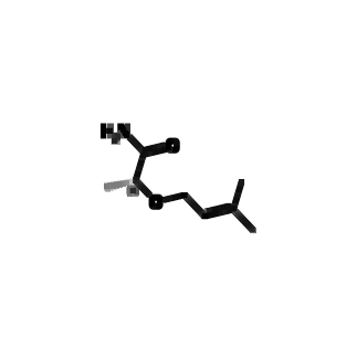 CC(C)=CCO[C@H](C)C(N)=O